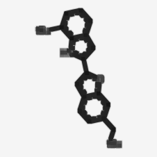 CC(C)(C)Cc1ccc2cc(-c3cc4cccc(C(C)(C)C)c4[nH]3)oc2c1